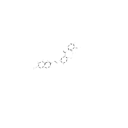 O=C1c2cc(C=Cc3ccc4cc(F)c(F)cc4n3)ccc2OCc2c1cccc2C(F)(F)F